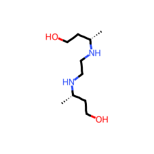 C[C@@H](CCO)NCCN[C@@H](C)CCO